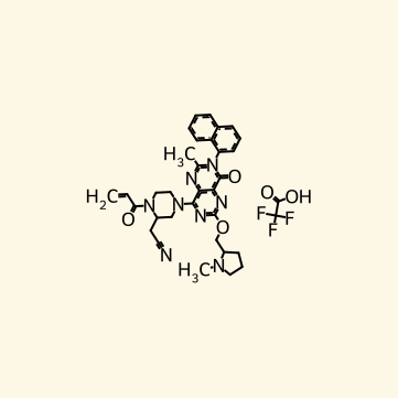 C=CC(=O)N1CCN(c2nc(OCC3CCCN3C)nc3c(=O)n(-c4cccc5ccccc45)c(C)nc23)CC1CC#N.O=C(O)C(F)(F)F